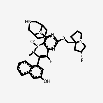 CN1C(c2cc(O)cc3ccccc23)=C(F)c2nc(OC[C@@]34CCCN3C[C@H](F)C4)nc(N3C4CNCC3COC4)c2[S+]1[O-]